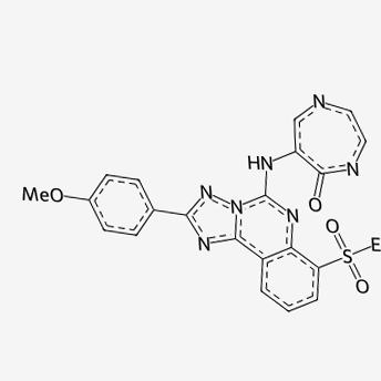 CCS(=O)(=O)c1cccc2c1nc(Nc1cnccnc1=O)n1nc(-c3ccc(OC)cc3)nc21